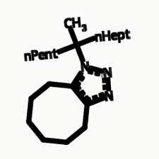 CCCCCCCC(C)(CCCCC)n1nnc2c1CCCCCC2